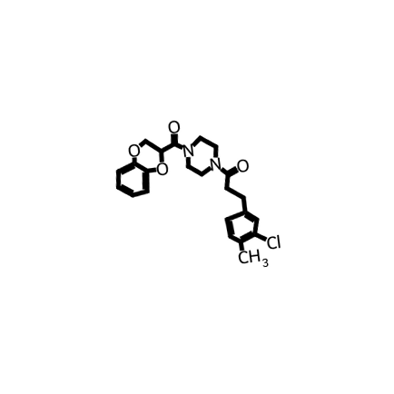 Cc1ccc(CCC(=O)N2CCN(C(=O)C3COc4ccccc4O3)CC2)cc1Cl